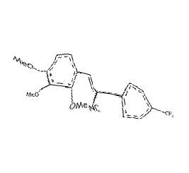 COc1ccc(/C=C(\C#N)c2ccc(C(F)(F)F)cc2)c(OC)c1OC